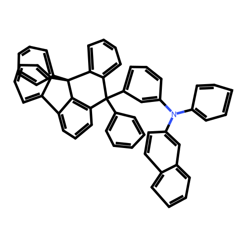 c1ccc(N(c2cccc(C3(c4ccccc4)c4ccccc4C4(c5ccccc5)c5ccccc5-c5cccc3c54)c2)c2ccc3ccccc3c2)cc1